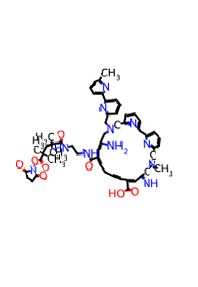 Cc1cccc(-c2cccc(CN3C/C(N)=C/C(C(=O)NCCNC(=O)C(C)(C)CC(C)(C)C(=O)ON4C(=O)CCC4=O)=C\C/C=C/C(C(=O)O)=C\C(=N)CN(C)Cc4cccc(n4)-c4cccc(n4)C3)n2)n1